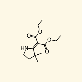 CCOC(=O)C(C(=O)OCC)=C1NCCC1(C)C